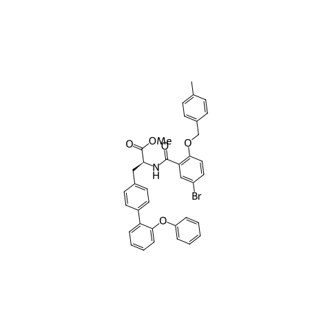 COC(=O)[C@H](Cc1ccc(-c2ccccc2Oc2ccccc2)cc1)NC(=O)c1cc(Br)ccc1OCc1ccc(C)cc1